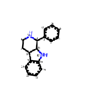 c1ccc(C2NCCC3c4ccccc4NC32)cc1